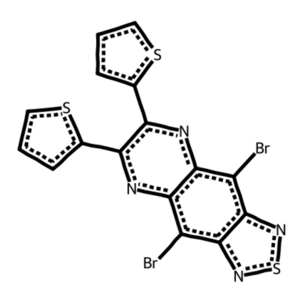 Brc1c2nsnc2c(Br)c2nc(-c3cccs3)c(-c3cccs3)nc12